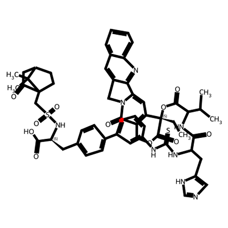 CC[C@@]1(OC(=O)C(NC(=O)C(Cc2cnc[nH]2)NC(=S)Nc2cccc(-c3ccc(C[C@H](NS(=O)(=O)CC45CCC(CC4=O)C5(C)C)C(=O)O)cc3)c2)C(C)C)C(=O)OCc2c1cc1n(c2=O)Cc2cc3ccccc3nc2-1